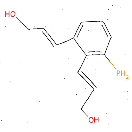 OCC=Cc1cccc(P)c1C=CCO